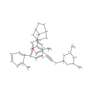 CC1CN(CC#Cc2cc(N3C4CCC3CN(c3cc(-c5ccccc5O)nnc3N)C4)ccn2)CC(C)O1